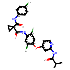 CC(C)C(=O)Nc1cc(Oc2cc(F)c(NC(=O)C3(C(=O)Nc4ccc(F)cc4)CC3)cc2F)ccn1